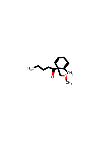 CCCCC(=O)C1(COC)C=CCC=C1C